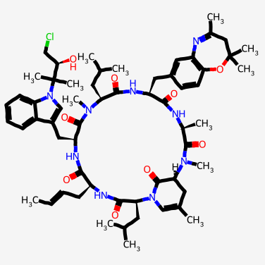 C/C=C/C[C@@H]1NC(=O)[C@H](CC(C)C)N2C=C(C)C[C@@H](C2=O)N(C)C(=O)[C@H](C)NC(=O)[C@H](Cc2ccc3c(c2)N=C(C)CC(C)(C)O3)NC(=O)[C@H](CC(C)C)N(C)C(=O)[C@H](Cc2cn(C(C)(C)[C@H](O)CCl)c3ccccc23)NC1=O